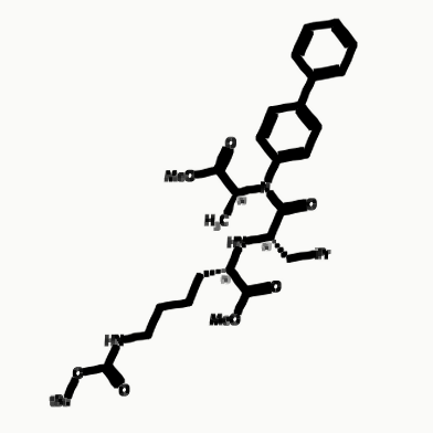 COC(=O)[C@H](CCCCNC(=O)OC(C)(C)C)N[C@@H](CC(C)C)C(=O)N(c1ccc(-c2ccccc2)cc1)[C@@H](C)C(=O)OC